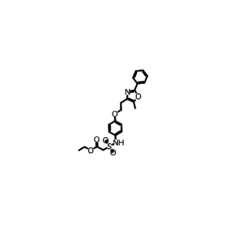 CCOC(=O)CS(=O)(=O)Nc1ccc(OCCc2nc(-c3ccccc3)oc2C)cc1